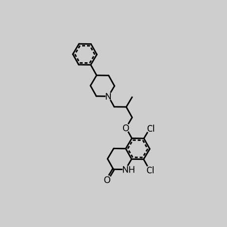 CC(COc1c(Cl)cc(Cl)c2c1CCC(=O)N2)CN1CCC(c2ccccc2)CC1